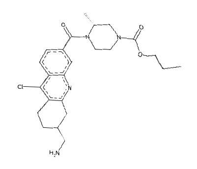 CCCOC(=O)N1CCN(C(=O)c2ccc3c(Cl)c4c(nc3c2)CC(CN)CC4)[C@H](C)C1